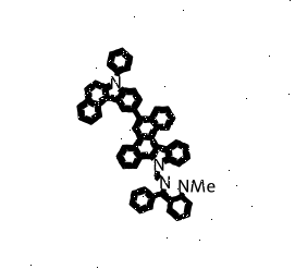 CNC1C=CC=C/C1=C(/N=C/n1c2ccccc2c2c3c4ccccc4c(-c4ccc5c(c4)c4c6ccccc6ccc4n5-c4ccccc4)cc3c3ccccc3c21)c1ccccc1